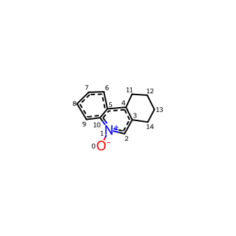 [O-][n+]1cc2c(c3ccccc31)CCCC2